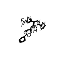 FC(F)n1cc(C2=C(CC3(F)COC(c4ccccc4)OC3)NC(c3nccs3)=NC2)cn1